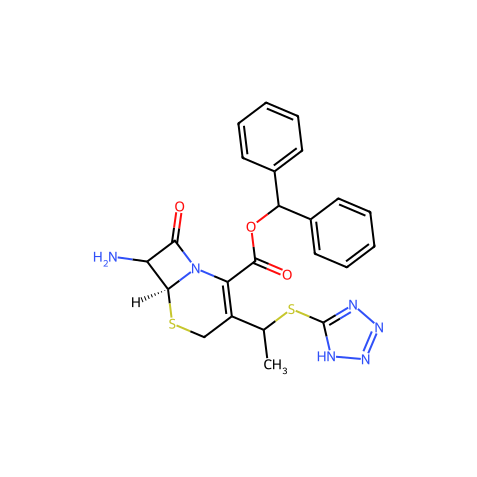 CC(Sc1nnn[nH]1)C1=C(C(=O)OC(c2ccccc2)c2ccccc2)N2C(=O)C(N)[C@@H]2SC1